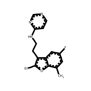 CCc1oc2c(C)cc(F)cc2c1CCNc1ccncn1